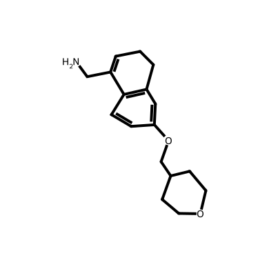 NCC1=CCCc2cc(OCC3CCOCC3)ccc21